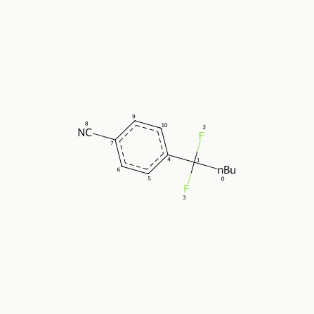 CCCCC(F)(F)c1ccc(C#N)cc1